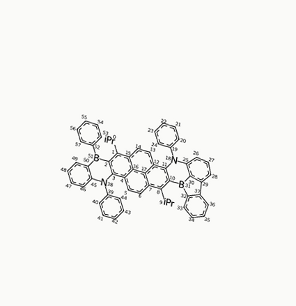 CC(C)c1c2c(c3ccc4c(C(C)C)c5c(c6ccc1c3c46)N(c1ccccc1)c1cccc3c1B5c1ccccc1-3)N(c1ccccc1)c1ccccc1B2c1ccccc1